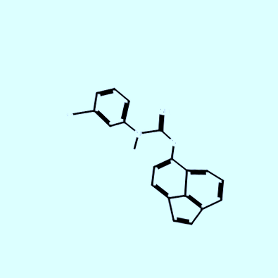 CN(C(=N)Nc1ccc2c3c(cccc13)C=C2)c1cccc(C(C)(C)C)c1